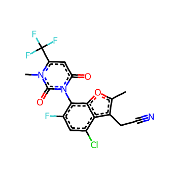 Cc1oc2c(-n3c(=O)cc(C(F)(F)F)n(C)c3=O)c(F)cc(Cl)c2c1CC#N